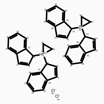 C1=C[CH]([Hf+2]2([CH]3C=Cc4ccccc43)[CH2][CH2]2)c2ccccc21.C1=C[CH]([Zr]2([CH]3C=Cc4ccccc43)[CH2][CH2]2)c2ccccc21.[Cl-].[Cl-]